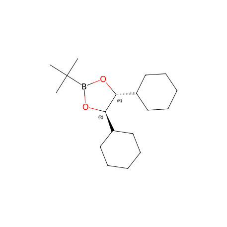 CC(C)(C)B1O[C@H](C2CCCCC2)[C@@H](C2CCCCC2)O1